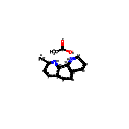 CC(=O)[O-].[Pd+][c]1ccc2ccc3cccnc3c2n1